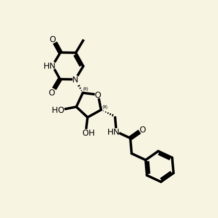 Cc1cn([C@@H]2O[C@H](CNC(=O)Cc3ccccc3)C(O)C2O)c(=O)[nH]c1=O